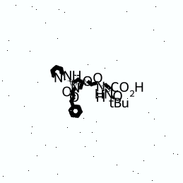 CC(C)(C)C(=O)N[C@@H](CNC(=O)CO[C@@H]1C[C@@H](CNc2ccccn2)N(C(=O)OCc2ccccc2)C1)C(=O)O